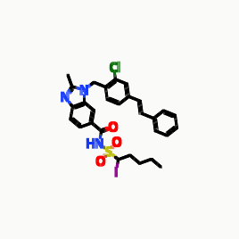 CCCCC(I)S(=O)(=O)NC(=O)c1ccc2nc(C)n(Cc3ccc(C=Cc4ccccc4)cc3Cl)c2c1